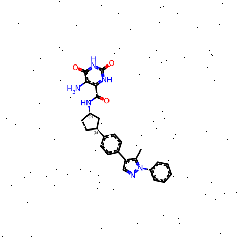 Cc1c(-c2ccc([C@H]3CC[C@@H](NC(=O)c4[nH]c(=O)[nH]c(=O)c4N)C3)cc2)cnn1-c1ccccc1